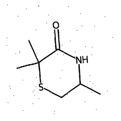 CC1CSC(C)(C)C(=O)N1